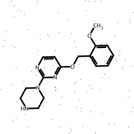 COc1ccccc1COc1ccnc(N2CCNCC2)n1